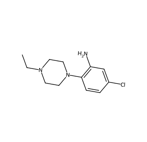 CCN1CCN(c2ccc(Cl)cc2N)CC1